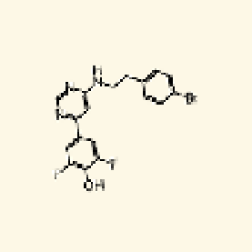 Oc1c(F)cc(-c2cc(NCCc3ccc(Br)cc3)ncn2)cc1F